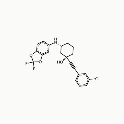 O[C@]1(C#Cc2cccc(Cl)c2)CCC[C@@H](Nc2ccc3c(c2)OC(F)(F)O3)C1